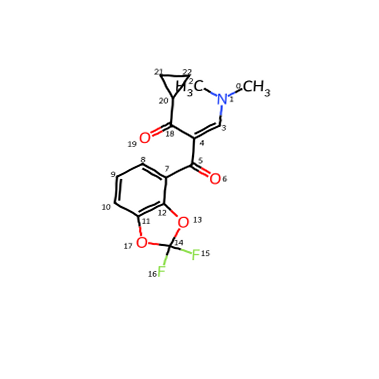 CN(C)/C=C(/C(=O)c1cccc2c1OC(F)(F)O2)C(=O)C1CC1